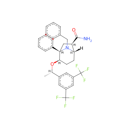 C[C@H](O[C@@H]1CC[C@H]2[C@H](C(N)=O)C[C@]1(c1ccccc1)N2Cc1ccccc1)c1cc(C(F)(F)F)cc(C(F)(F)F)c1